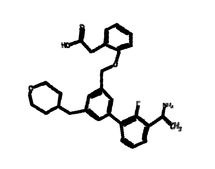 CC(N)c1cccc(-c2cc(COc3ccccc3CC(=O)O)cc(CC3CCOCC3)c2)c1F